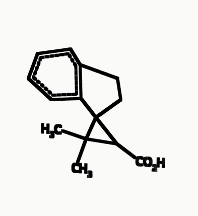 CC1(C)C(C(=O)O)C12CCc1ccccc12